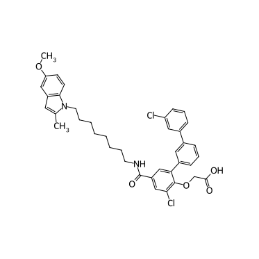 COc1ccc2c(c1)cc(C)n2CCCCCCCCNC(=O)c1cc(Cl)c(OCC(=O)O)c(-c2cccc(-c3cccc(Cl)c3)c2)c1